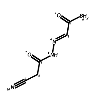 BC(=O)/C=N/NC(=O)CC#N